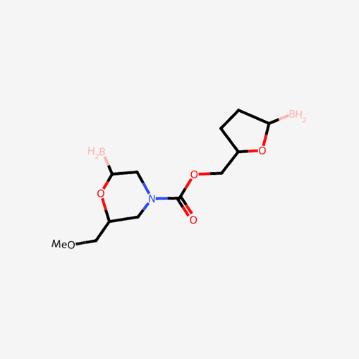 BC1CCC(COC(=O)N2CC(B)OC(COC)C2)O1